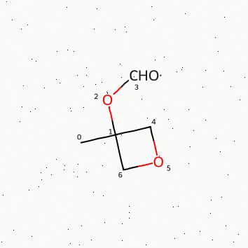 CC1(O[C]=O)COC1